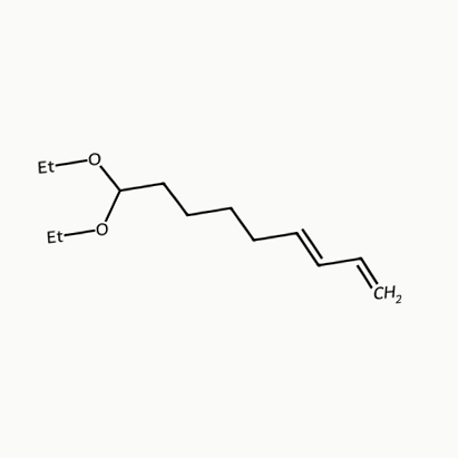 C=C/C=C/CCCCC(OCC)OCC